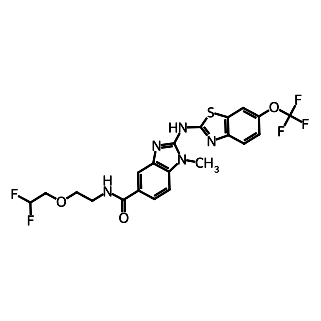 Cn1c(Nc2nc3ccc(OC(F)(F)F)cc3s2)nc2cc(C(=O)NCCOCC(F)F)ccc21